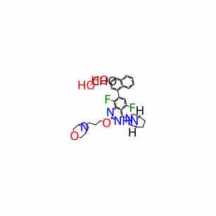 O=CO.Oc1cc(-c2cc(F)c3c(N4C[C@H]5CC[C@@H](C4)N5)nc(OCCCN4C5CCC4COC5)nc3c2F)c2ccccc2c1